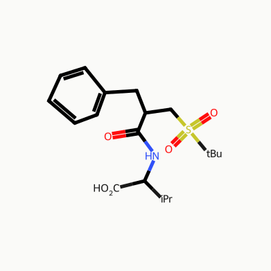 CC(C)C(NC(=O)C(Cc1ccccc1)CS(=O)(=O)C(C)(C)C)C(=O)O